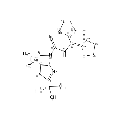 CC(C)(O)c1ncc([SH](N)(=O)/N=N/C(=O)Nc2c3c(cc4c2OCC4)CCC3)s1